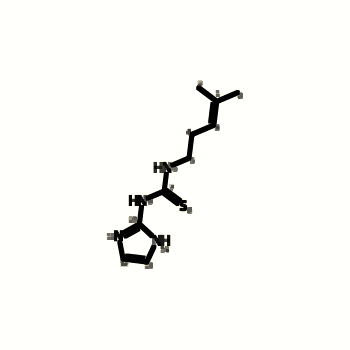 CC(C)=CCCNC(=S)Nc1ncc[nH]1